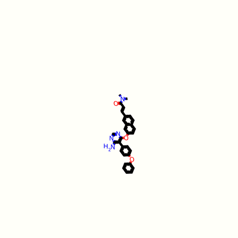 CN(C)C(=O)/C=C/c1ccc2ccc(Oc3ncnc(N)c3-c3ccc(Oc4ccccc4)cc3)cc2c1